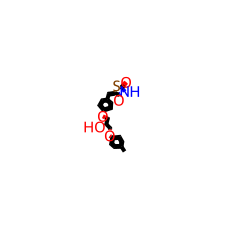 Cc1ccc(OC[C@@H](O)COc2ccc(C=C3SC(=O)NC3=O)cc2)cc1